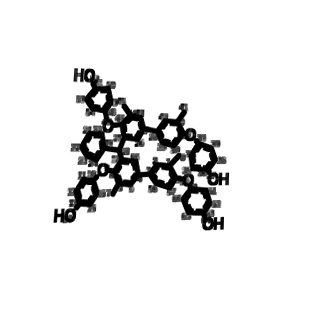 Cc1cc(-c2cc(C)c(Oc3ccc(O)cc3)c(C(c3ccccc3)c3cc(-c4ccc(Oc5ccc(O)cc5)c(C)c4)cc(C)c3Oc3ccc(O)cc3)c2)ccc1Oc1ccc(O)cc1